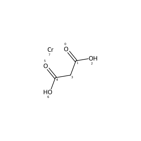 O=C(O)CC(=O)O.[Cr]